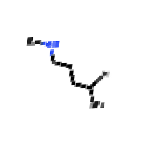 CCCCC(CC)CCCNCC